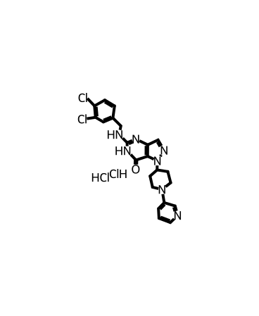 Cl.Cl.O=c1[nH]c(NCc2ccc(Cl)c(Cl)c2)nc2cnn(C3CCN(c4cccnc4)CC3)c12